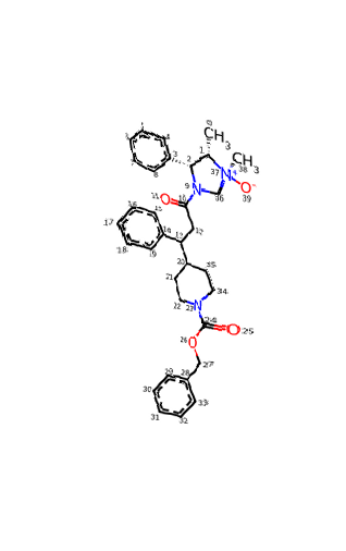 C[C@H]1[C@@H](c2ccccc2)N(C(=O)CC(c2ccccc2)C2CCN(C(=O)OCc3ccccc3)CC2)C[N@+]1(C)[O-]